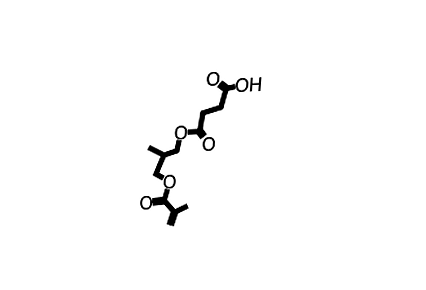 C=C(C)C(=O)OCC(C)COC(=O)CCC(=O)O